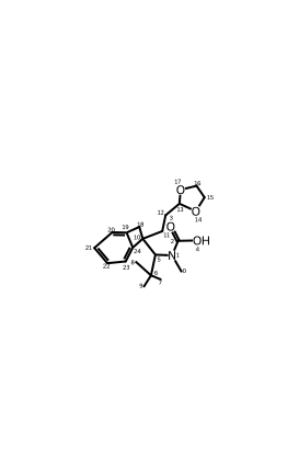 CN(C(=O)O)C(C(C)(C)C)C1(CCC2OCCO2)Cc2ccccc21